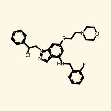 Fc1ccccc1CNc1cc(SCCN2CCOCC2)cc2c1cnn2CC(Cl)c1ccccc1